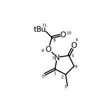 C=C1C(C)CC(=O)N1OC(=O)C(C)(C)C